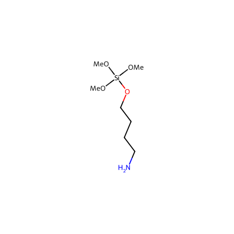 CO[Si](OC)(OC)OCCCCN